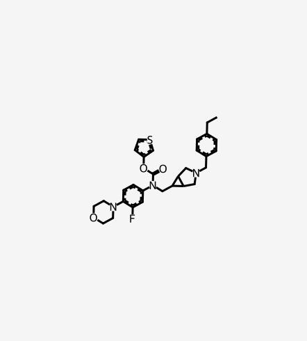 CCc1ccc(CN2CC3C(C2)C3CN(C(=O)Oc2ccsc2)c2ccc(N3CCOCC3)c(F)c2)cc1